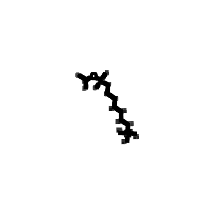 CC(C)O[Si](C)(C)CCCCCCC[Si](C)(C)C